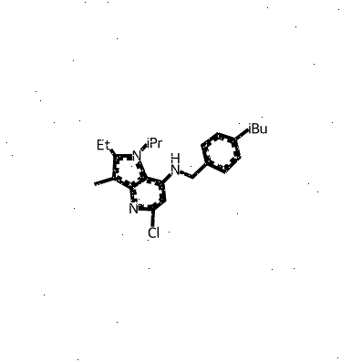 CCc1c(C)c2nc(Cl)cc(NCc3ccc(C(C)CC)cc3)c2n1C(C)C